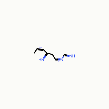 C/C=C\C(=N)C/C=N\C=N